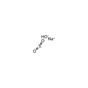 [Na+].[OH-].[O]=[Ti]=[O]